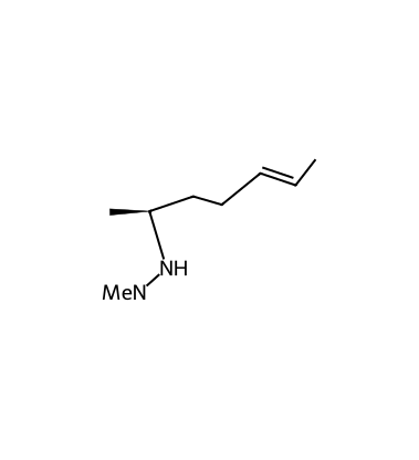 C/C=C/CC[C@H](C)NNC